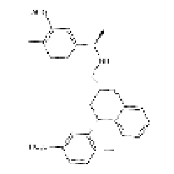 COc1cc([C@@H](C)NC[C@H]2C[C@@H](c3cc(C(=O)O)ccc3C)c3ccccc3O2)ccc1F